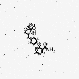 CC(C)(C)OC(=O)NC(CO)Cc1ccc(Oc2ncccc2C(N)=O)cc1